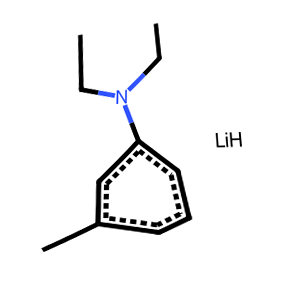 CCN(CC)c1cccc(C)c1.[LiH]